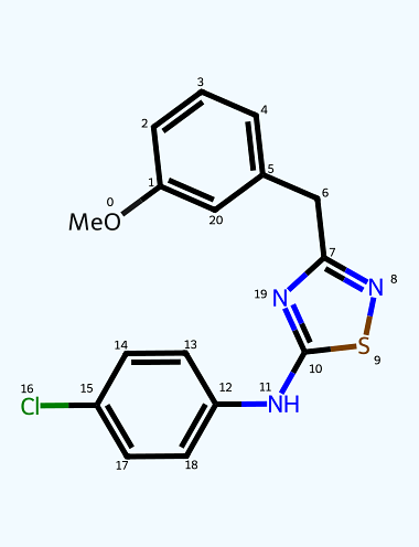 COc1cccc(Cc2nsc(Nc3ccc(Cl)cc3)n2)c1